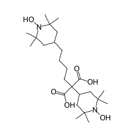 CC1(C)CC(CCCCC(C(=O)O)(C(=O)O)C2CC(C)(C)N(O)C(C)(C)C2)CC(C)(C)N1O